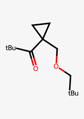 CC(C)(C)COCC1(C(=O)C(C)(C)C)CC1